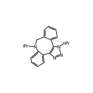 CCCn1nnc2c1-c1ccccc1CN(C(C)C)c1ccccc1-2